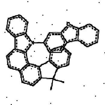 CC1(C)c2ccccc2-c2c1ccc1ccc3c4ccccc4n(-c4ccc5c(c4)oc4ccccc45)c3c21